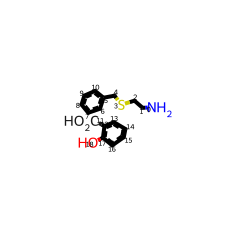 NCCSCc1ccccc1.O=C(O)c1ccccc1O